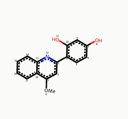 COc1cc(-c2ccc(O)cc2O)nc2ccccc12